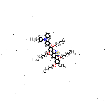 CCCCCCOc1cc(-c2ccc(-c3cc(OCCCCCC)c(-c4ccc(N(c5ccccc5)c5ccc(C)cc5)cc4)cc3OCCCCCC)c3nsnc23)c(OCCCCCC)cc1C